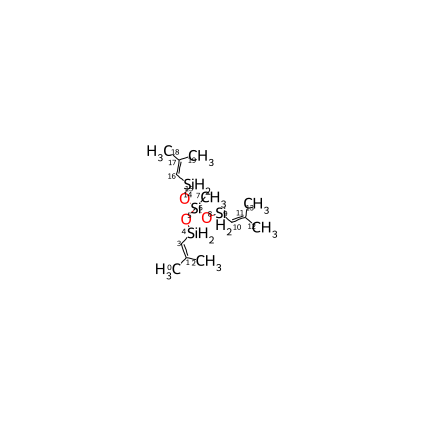 CC(C)=C[SiH2]O[Si](C)(O[SiH2]C=C(C)C)O[SiH2]C=C(C)C